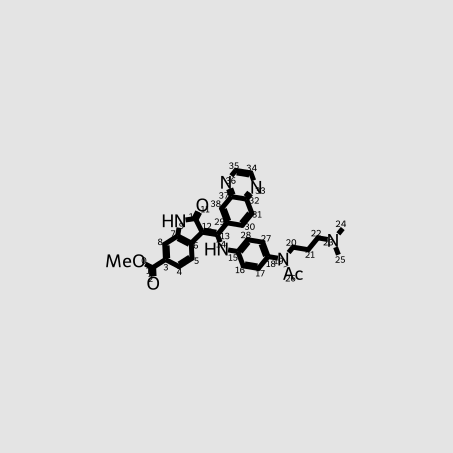 COC(=O)c1ccc2c(c1)NC(=O)C2=C(Nc1ccc(N(CCCN(C)C)C(C)=O)cc1)c1ccc2nccnc2c1